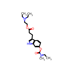 CCN(CC)CCOC(=O)CCc1c[nH]c2cc(OC(=O)N(C)CC)ccc12